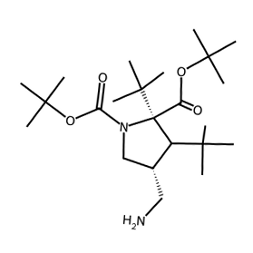 CC(C)(C)OC(=O)N1C[C@@H](CN)C(C(C)(C)C)[C@@]1(C(=O)OC(C)(C)C)C(C)(C)C